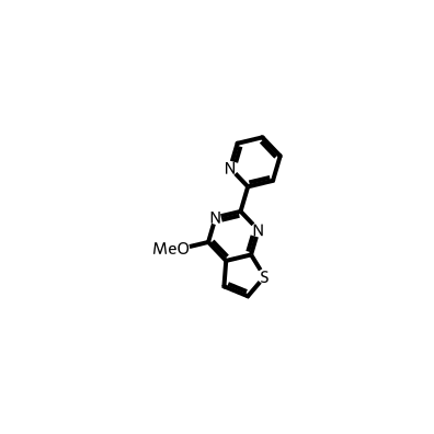 COc1nc(-c2ccccn2)nc2sccc12